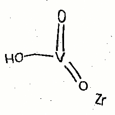 [O]=[V](=[O])[OH].[Zr]